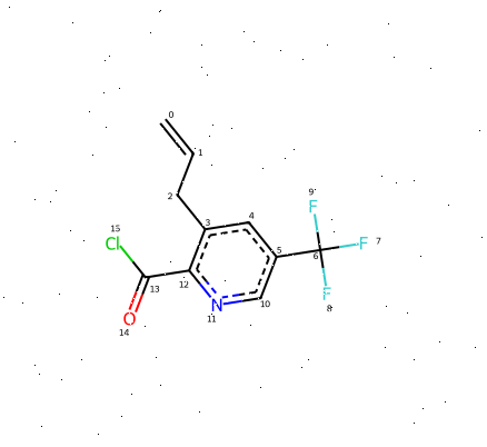 C=CCc1cc(C(F)(F)F)cnc1C(=O)Cl